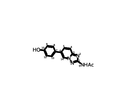 CC(=O)Nc1nc2ccc(-c3ccc(O)cc3)cn2n1